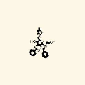 CC(C)(C)[Si](C)(C)OCC1OC(OCCO)C(OC(=O)c2ccccc2)C(OC(=O)c2ccccc2)C1O